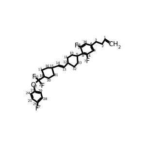 C=CCCc1cc(F)c(C2CCC(/C=C/C3CCC(C(F)(F)Oc4ccc(F)cc4)CC3)CC2)c(F)c1